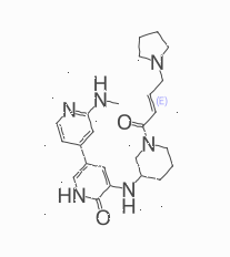 CNc1cc(-c2c[nH]c(=O)c(NC3CCCN(C(=O)/C=C/CN4CCCC4)C3)c2)ccn1